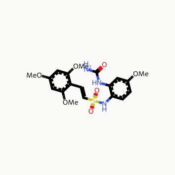 COc1ccc(NS(=O)(=O)C=Cc2c(OC)cc(OC)cc2OC)c(NC(N)=O)c1